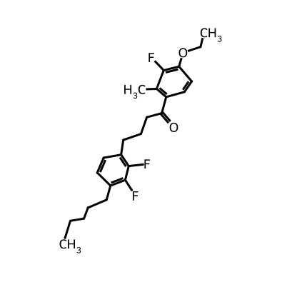 CCCCCc1ccc(CCCC(=O)c2ccc(OCC)c(F)c2C)c(F)c1F